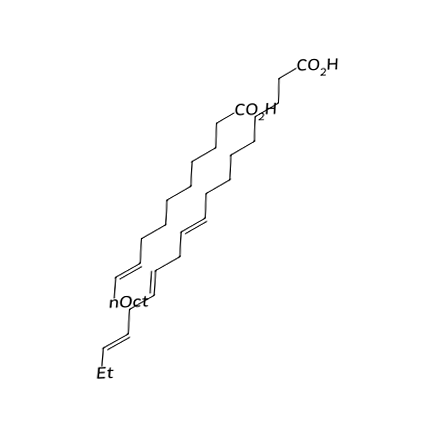 CC/C=C/C/C=C/C/C=C/CCCCCCCC(=O)O.CCCCCCCC/C=C/CCCCCCCC(=O)O